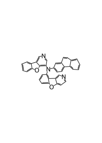 c1ccc2c(c1)ccc1cc(N(c3cncc4c3oc3ccccc34)c3cccc4oc5ccncc5c34)ccc12